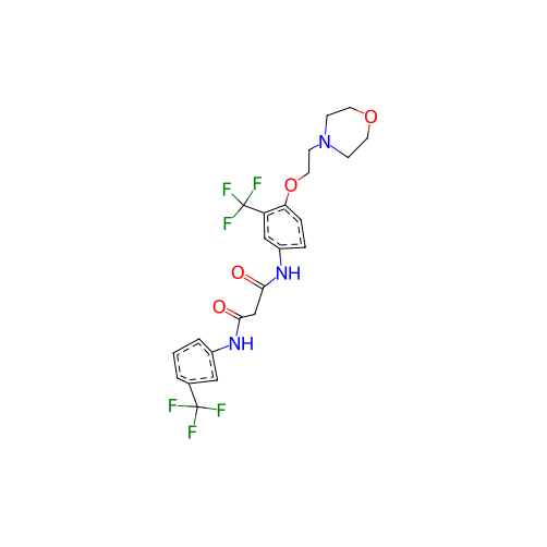 O=C(CC(=O)Nc1ccc(OCCN2CCOCC2)c(C(F)(F)F)c1)Nc1cccc(C(F)(F)F)c1